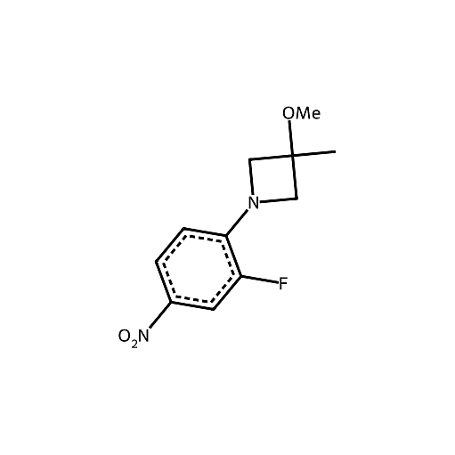 COC1(C)CN(c2ccc([N+](=O)[O-])cc2F)C1